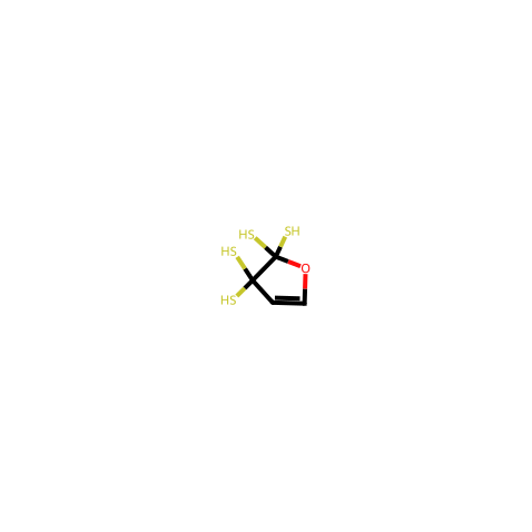 SC1(S)C=COC1(S)S